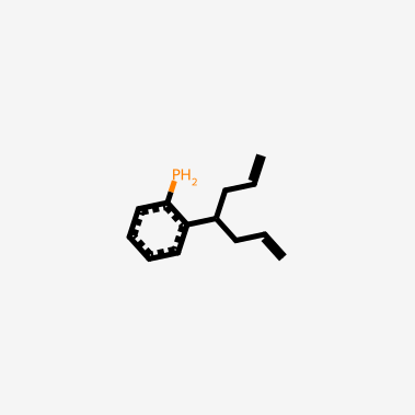 C=CCC(CC=C)c1ccccc1P